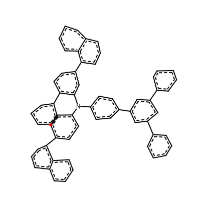 c1ccc(-c2cc(-c3ccccc3)cc(-c3ccc(N(c4ccc(-c5cccc6ccccc56)cc4)c4cc(-c5cccc6ccccc56)ccc4-c4ccccc4)cc3)c2)cc1